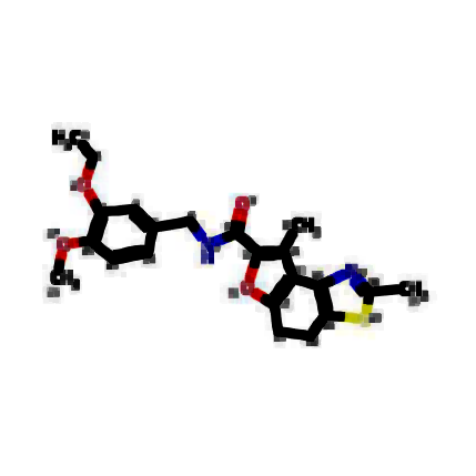 CCOc1cc(CNC(=O)c2oc3c(c2C)-c2nc(C)sc2CC3)ccc1OC